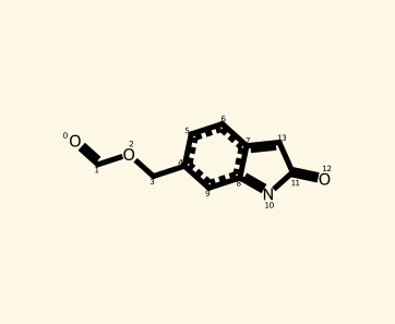 O=COCc1ccc2c(c1)=NC(=O)C=2